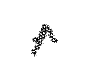 Fc1cccc(-c2ccc(-c3ccc(F)c(N(c4cc5ccc6cc(N(c7ccccc7F)c7cc(-c8ccc(-c9cccc(F)c9)cc8)ccc7F)cc7ccc(c4)c5c67)c4ccccc4F)c3)cc2)c1